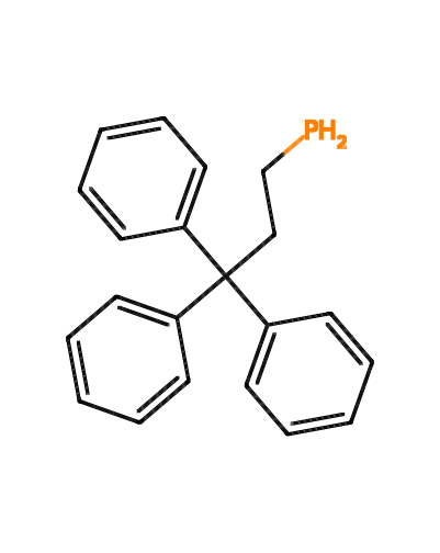 PCCC(c1ccccc1)(c1ccccc1)c1ccccc1